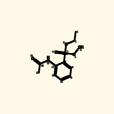 CCO[As](=O)(OO)c1ccccc1NC(C)=O